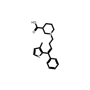 Cc1ccsc1C(=CCCN1CCCC(C(=O)O)C1)c1ccccc1